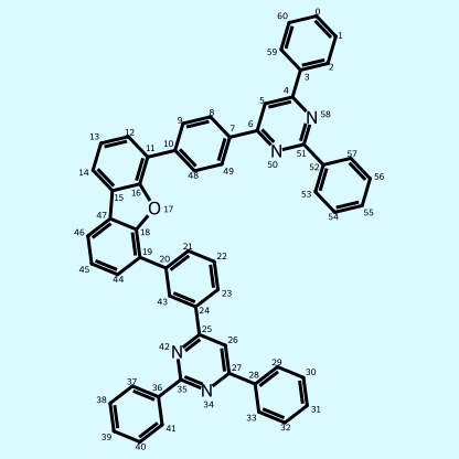 c1ccc(-c2cc(-c3ccc(-c4cccc5c4oc4c(-c6cccc(-c7cc(-c8ccccc8)nc(-c8ccccc8)n7)c6)cccc45)cc3)nc(-c3ccccc3)n2)cc1